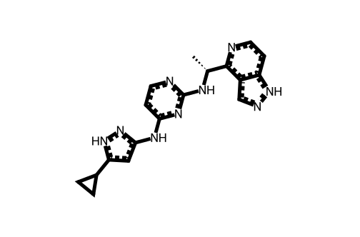 C[C@@H](Nc1nccc(Nc2cc(C3CC3)[nH]n2)n1)c1nccc2[nH]ncc12